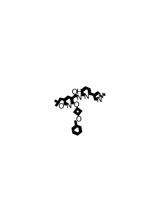 Cn1cc(-c2cccc(NC(=O)c3cc4c(nc3O[C@H]3C[C@H](OCc5ccccc5)C3)OC(C)(C)C4)n2)cn1